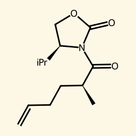 C=CCC[C@H](C)C(=O)N1C(=O)OC[C@@H]1C(C)C